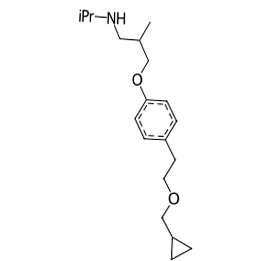 CC(CNC(C)C)COc1ccc(CCOCC2CC2)cc1